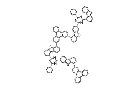 c1ccc(-c2nc(-c3ccc4c(c3)oc3cccc(-c5ccc6c7ccccc7c7ccc(-c8cccc9c8sc8cccc(-c%10nc(-c%11ccccc%11)nc(-c%11ccc%12c(c%11)sc%11c(-c%13ccc%14c%15ccccc%15c%15ccccc%15c%14c%13)cccc%11%12)n%10)c89)cc7c6c5)c34)nc(-c3cccc4sc5ccccc5c34)n2)cc1